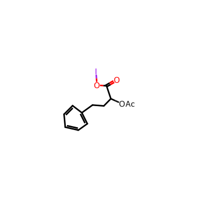 CC(=O)OC(CCc1ccccc1)C(=O)OI